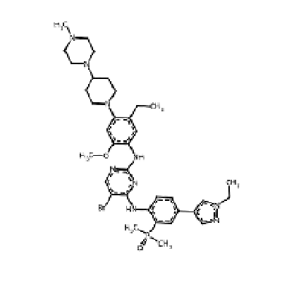 CCc1cc(Nc2ncc(Br)c(Nc3ccc(-c4cnn(CC)c4)cc3P(C)(C)=O)n2)c(OC)cc1N1CCC(N2CCN(C)CC2)CC1